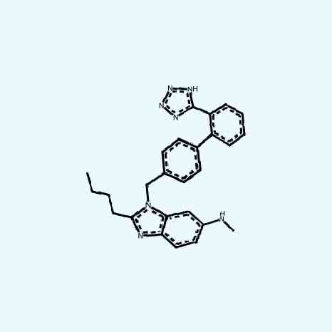 CCCCc1nc2ccc(NC)cc2n1Cc1ccc(-c2ccccc2-c2nnn[nH]2)cc1